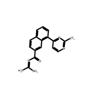 NC(N)=NC(=O)c1ccc2cccc(-c3ccnc(C(F)(F)F)n3)c2c1